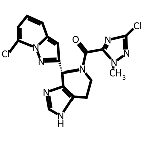 Cn1nc(Cl)nc1C(=O)N1CCc2[nH]cnc2[C@@H]1c1cc2cccc(Cl)n2n1